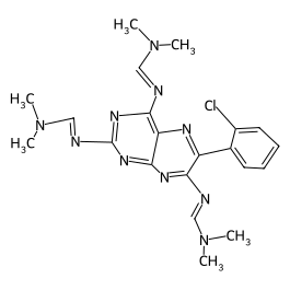 CN(C)/C=N/c1nc(/N=C/N(C)C)c2nc(-c3ccccc3Cl)c(/N=C/N(C)C)nc2n1